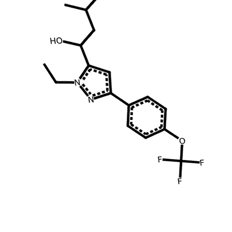 CCn1nc(-c2ccc(OC(F)(F)F)cc2)cc1C(O)CC(C)C